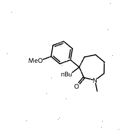 CCCCC1(c2cccc(OC)c2)CCCCN(C)C1=O